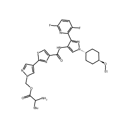 CCO[C@H]1CC[C@H](n2cc(NC(=O)c3csc(-c4cnn(COC(=O)C(N)C(C)(C)C)c4)n3)c(-c3nc(F)ccc3F)n2)CC1